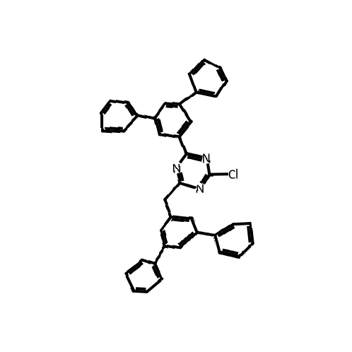 Clc1nc(Cc2cc(-c3ccccc3)cc(-c3ccccc3)c2)nc(-c2cc(-c3ccccc3)cc(-c3ccccc3)c2)n1